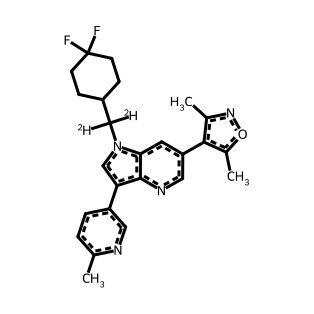 [2H]C([2H])(C1CCC(F)(F)CC1)n1cc(-c2ccc(C)nc2)c2ncc(-c3c(C)noc3C)cc21